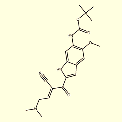 COc1cc2cc(C(=O)/C(C#N)=C/CN(C)C)[nH]c2cc1NC(=O)OC(C)(C)C